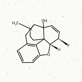 CN1CCC23c4c5cccc4O[C@H]2[C@H](F)C=CC3(O)C1C5